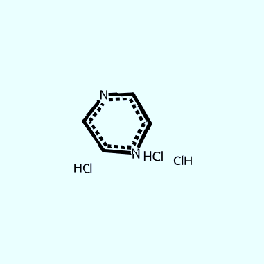 Cl.Cl.Cl.c1cnccn1